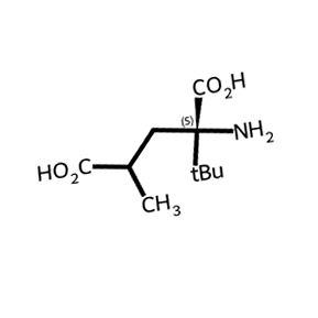 CC(C[C@@](N)(C(=O)O)C(C)(C)C)C(=O)O